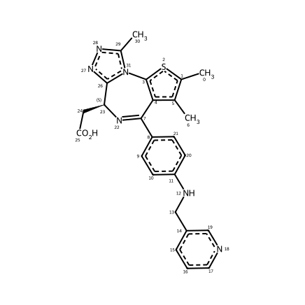 Cc1sc2c(c1C)C(c1ccc(NCc3cccnc3)cc1)=N[C@@H](CC(=O)O)c1nnc(C)n1-2